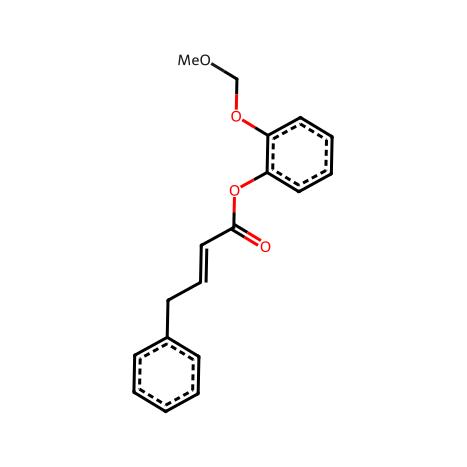 COCOc1ccccc1OC(=O)C=CCc1ccccc1